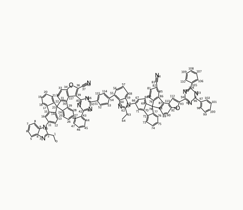 CCc1nc2ccccc2n1-c1ccc2c(c1)-c1ccccc1C21c2ccccc2-c2c1ccc1oc(C#N)c(-c3nc(-c4ccccc4)nc(-c4ccc(-c5cccc6c5nc(CC)n6-c5ccc6c(c5)-c5ccccc5C65c6ccc(C#N)cc6-c6c5ccc5oc(-c7nc(-c8ccccc8)nc(-c8ccccc8)n7)cc65)cc4)n3)c21